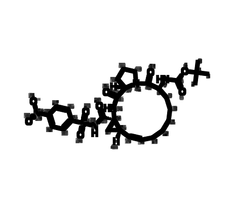 CC(C)(C)OC(=O)N[C@H]1CCCCC/C=C\[C@@H]2C[C@@]2(C(=O)NS(=O)(=O)c2ccc([N+](=O)[O-])cc2)NC(=O)[C@@H]2CCCN2C1=O